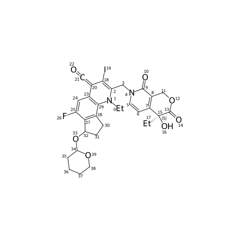 CCN1C(Cn2ccc3c(c2=O)COC(=O)[C@]3(O)CC)=C(I)C(=C=O)c2cc(F)c3c(c21)CCC3OC1CCCCO1